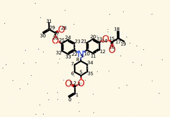 C=CC(=O)OC1CCC(N(c2ccc(OC(=O)C(=C)C)cc2)c2ccc(OC(=O)C(=C)C)cc2)CC1